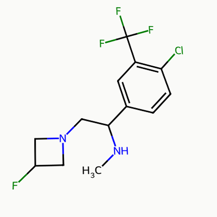 CNC(CN1CC(F)C1)c1ccc(Cl)c(C(F)(F)F)c1